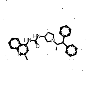 Cc1cc(NC(=O)NC2CCN([C@H](C)C(c3ccccc3)c3ccccc3)C2)c2ccccc2n1